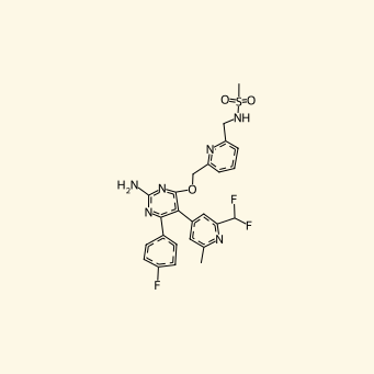 Cc1cc(-c2c(OCc3cccc(CNS(C)(=O)=O)n3)nc(N)nc2-c2ccc(F)cc2)cc(C(F)F)n1